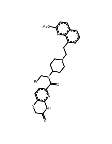 COc1ccc2nccc(CCN3CCC(N(CC(C)C)C(=O)c4ccc5c(n4)NC(=O)CS5)CC3)c2n1